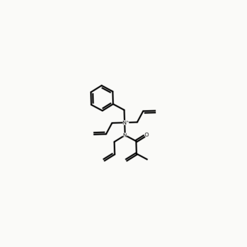 C=CCN(C(=O)C(=C)C)[N+](CC=C)(CC=C)Cc1ccccc1